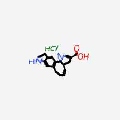 Cl.O=C(O)c1cnc2c(c1)/C=C\C=C/c1cc3[nH]ccc3cc1-2